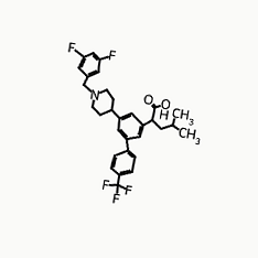 CC(C)CC(C(=O)O)c1cc(-c2ccc(C(F)(F)F)cc2)cc(C2CCN(Cc3cc(F)cc(F)c3)CC2)c1